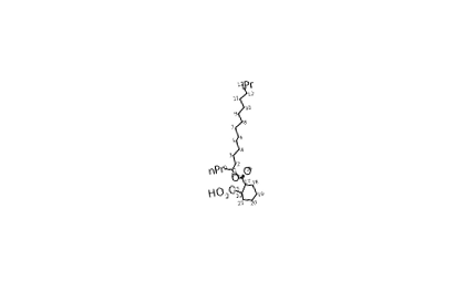 CCCC(CCCCCCCCCCCC(C)C)OC(=O)C1CCCCC1C(=O)O